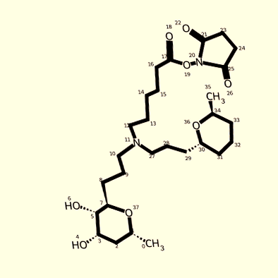 C[C@@H]1C[C@H](O)[C@H](O)[C@@H](CCCN(CCCCCC(=O)ON2C(=O)CCC2=O)CCC[C@H]2CCC[C@H](C)O2)O1